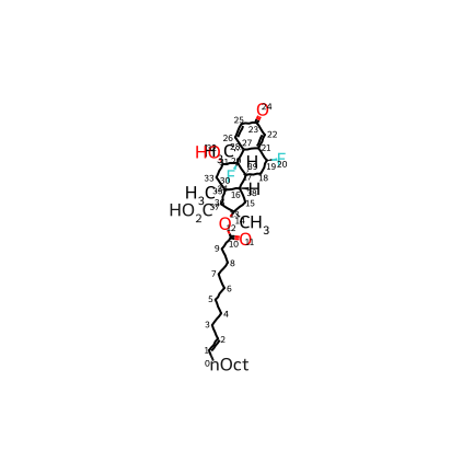 CCCCCCCC/C=C/CCCCCCCC(=O)O[C@]1(C)C[C@H]2[C@@H]3C[C@H](F)C4=CC(=O)C=C[C@]4(C)[C@@]3(F)[C@@H](O)C[C@]2(C)[C@H]1C(=O)O